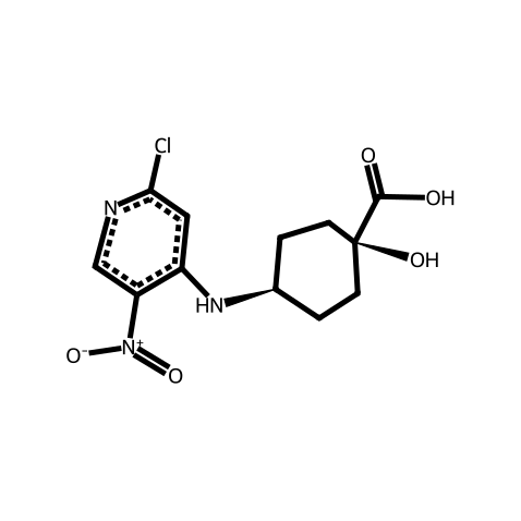 O=C(O)[C@]1(O)CC[C@@H](Nc2cc(Cl)ncc2[N+](=O)[O-])CC1